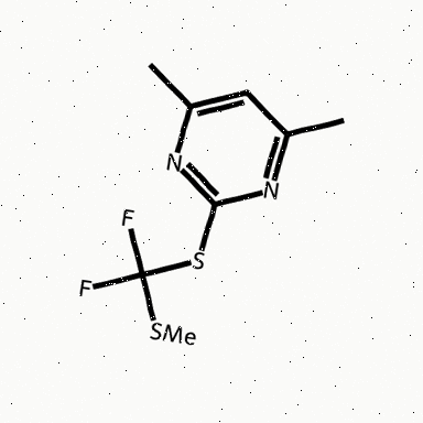 CSC(F)(F)Sc1nc(C)cc(C)n1